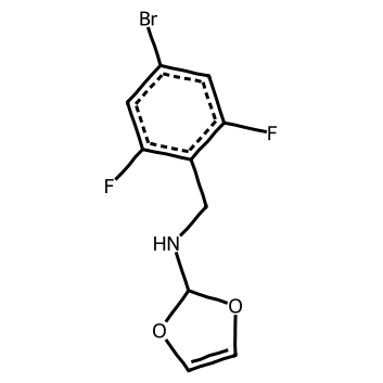 Fc1cc(Br)cc(F)c1CNC1OC=CO1